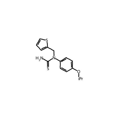 CC(C)Oc1ccc(N(Cc2cccs2)C(N)=S)cc1